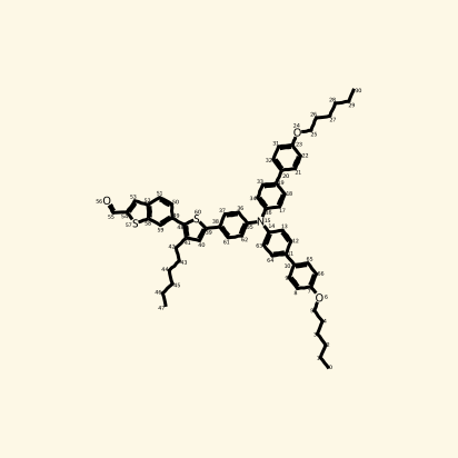 CCCCCCOc1ccc(-c2ccc(N(c3ccc(-c4ccc(OCCCCCC)cc4)cc3)c3ccc(-c4cc(CCCCCC)c(-c5ccc6cc(C=O)sc6c5)s4)cc3)cc2)cc1